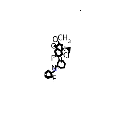 CC(=O)c1cn(C2CC2)c2c(Cl)c(N3CCCC[C@@H](/N=C/c4ccccc4F)C3)c(F)cc2c1=O